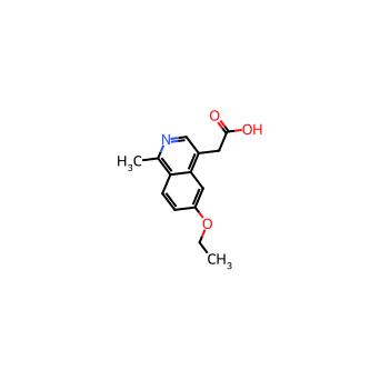 CCOc1ccc2c(C)ncc(CC(=O)O)c2c1